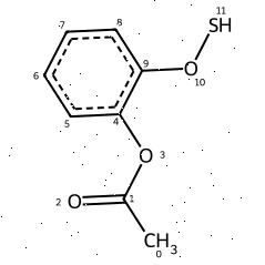 CC(=O)Oc1ccccc1OS